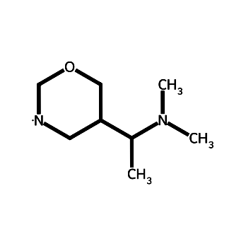 CC(C1C[N]COC1)N(C)C